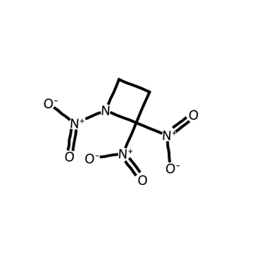 O=[N+]([O-])N1CCC1([N+](=O)[O-])[N+](=O)[O-]